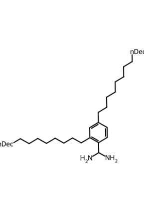 CCCCCCCCCCCCCCCCCCc1ccc(C(N)N)c(CCCCCCCCCCCCCCCCCC)c1